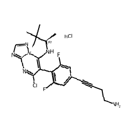 C[C@@H](Nc1c(-c2c(F)cc(C#CCCN)cc2F)c(Cl)nc2ncnn12)C(C)(C)C.Cl